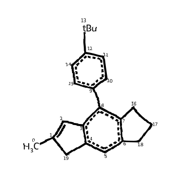 CC1=Cc2c(cc3c(c2-c2ccc(C(C)(C)C)cc2)CCC3)[CH]1